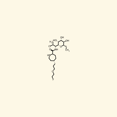 CS[C@H]1O[C@H]([C@H](NC(=O)C2CC[C@H](CCCOCCF)CCN2)[C@H](C)Cl)[C@H](O)[C@H](O)[C@H]1O